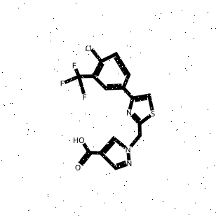 O=C(O)c1cnn(Cc2nc(-c3ccc(Cl)c(C(F)(F)F)c3)cs2)c1